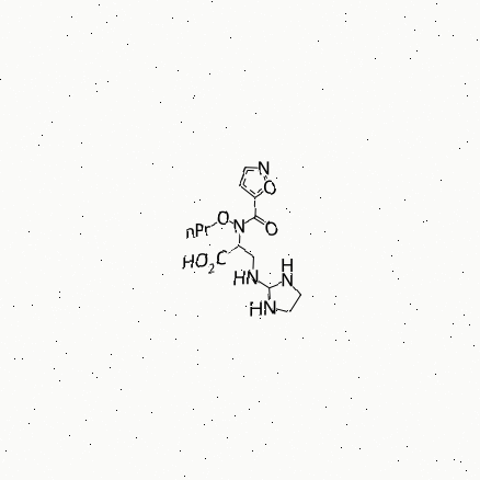 CCCON(C(=O)c1ccno1)C(CNC1NCCN1)C(=O)O